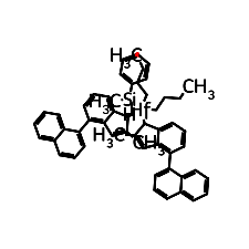 CCC[CH2][Hf]([CH2]CCC)([CH]1C(C)=Cc2c(-c3cccc4ccccc34)cccc21)([CH]1C(C)=Cc2c(-c3cccc4ccccc34)cccc21)[SiH](C)c1ccccc1